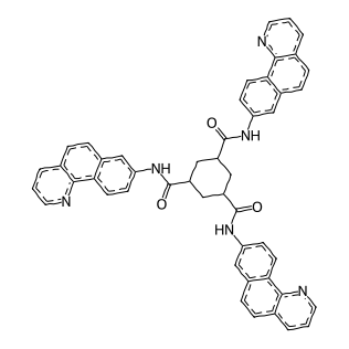 O=C(Nc1ccc2c(ccc3cccnc32)c1)C1CC(C(=O)Nc2ccc3c(ccc4cccnc43)c2)CC(C(=O)Nc2ccc3c(ccc4cccnc43)c2)C1